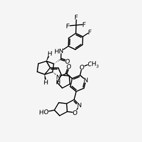 COc1ncc(C2=NOC3CC(O)CC23)cc1C(=O)N[C@H]1[C@@H](C(=O)Nc2ccc(F)c(C(F)(F)F)c2)[C@H]2CC[C@@H]1/C2=C\C1CCCC1